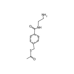 CC(=O)SCc1ccc(C(=O)NCCN)cc1